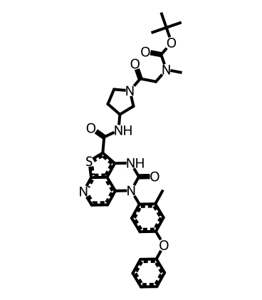 Cc1cc(Oc2ccccc2)ccc1N1C(=O)Nc2c(C(=O)NC3CCN(C(=O)CN(C)C(=O)OC(C)(C)C)C3)sc3nccc1c23